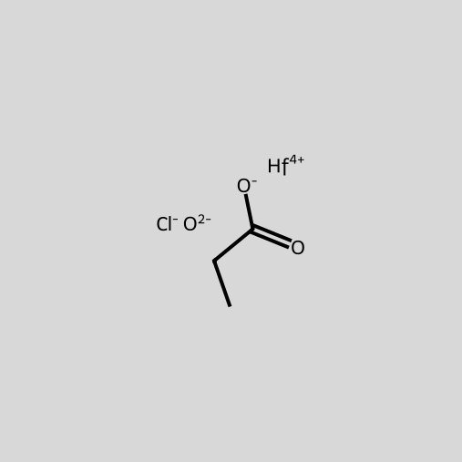 CCC(=O)[O-].[Cl-].[Hf+4].[O-2]